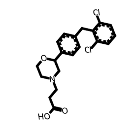 O=C(O)CCN1CCOC(c2ccc(Cc3c(Cl)cccc3Cl)cc2)C1